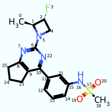 C[C@H]1[C@H](F)CN1c1nc2c(c(-c3cccc(NS(C)(=O)=O)c3)n1)CCC2